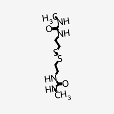 CNC(=O)NCCSSCCNC(=O)NC